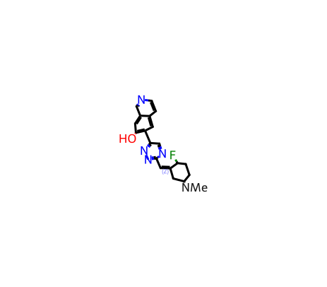 CNC1CCC(F)/C(=C\c2ncc(-c3cc4ccncc4cc3O)nn2)C1